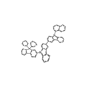 c1ccc(C2(c3ccccc3)c3ccccc3-c3ccc(-n4c5ccccc5c5cc(-c6ccc7c(c6)c6ccccc6n7-c6cccc7ccccc67)ccc54)cc32)cc1